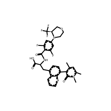 Cc1cc(C)n(C)c(=O)c1-c1ccc(CC(NC(=O)c2c(F)cc(N3CCOC[C@@H]3C(F)(F)F)cc2F)C(=O)O)c2cccnc12